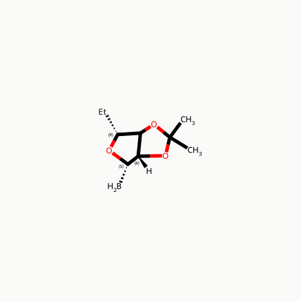 B[C@@H]1O[C@H](CC)C2OC(C)(C)O[C@@H]21